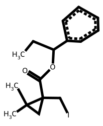 CCC(OC(=O)C1(CI)CC1(C)C)c1ccccc1